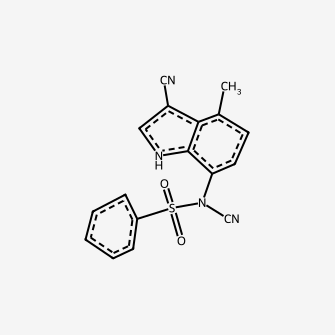 Cc1ccc(N(C#N)S(=O)(=O)c2ccccc2)c2[nH]cc(C#N)c12